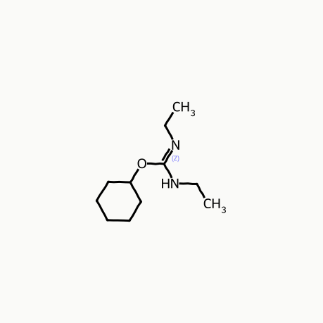 CC/N=C(/NCC)OC1CCCCC1